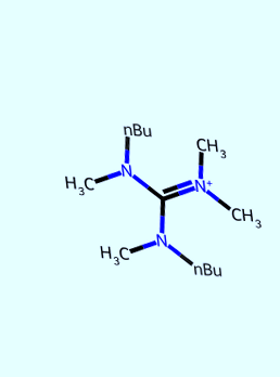 CCCCN(C)C(N(C)CCCC)=[N+](C)C